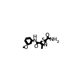 COc1cccc(NC(=O)c2sc(C(N)=O)nc2C)c1